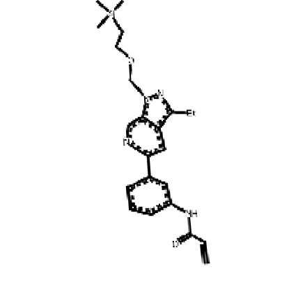 C=CC(=O)Nc1cccc(-c2cc3c(CC)nn(COCC[Si](C)(C)C)c3cn2)c1